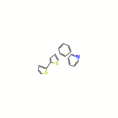 c1ccccc1.c1ccncc1.c1csc(-c2cccs2)c1